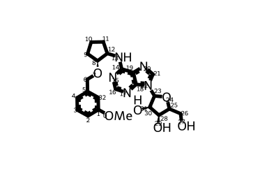 COc1cccc(CO[C@@H]2CCCC2Nc2ncnc3c2ncn3C2OC(CO)[C@@H](O)[C@H]2O)c1